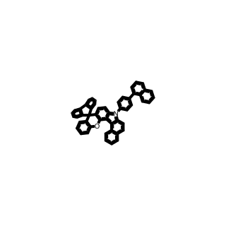 c1ccc2c(c1)Oc1c(ccc3c1c1c4ccccc4ccc1n3-c1ccc(-c3cccc4ccccc34)cc1)C21c2ccccc2-c2ccccc21